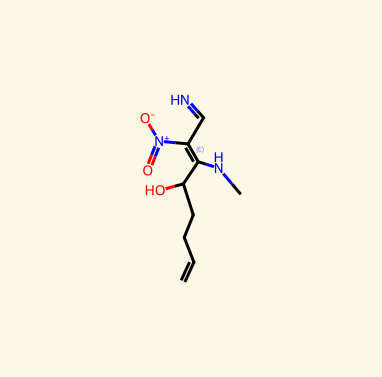 C=CCCC(O)/C(NC)=C(/C=N)[N+](=O)[O-]